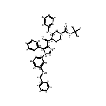 CC(C)(C)OC(=O)N1CCN(C(=O)c2ncn(-c3cccc(OCc4ccccc4)c3)c2-c2ccccc2)[C@H](Cc2ccccc2)C1